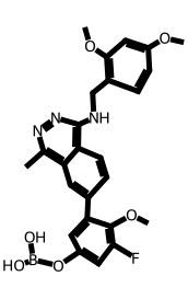 COc1ccc(CNc2nnc(C)c3cc(-c4cc(OB(O)O)cc(F)c4OC)ccc23)c(OC)c1